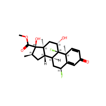 COC(=O)[C@@]1(O)[C@H](C)C[C@H]2[C@@H]3C[C@H](F)C4=CC(=O)C=C[C@]4(C)[C@@]3(F)[C@@H](O)C[C@@]21C